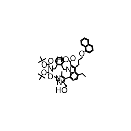 CCc1ccc(-c2c(CO)nn(C)c2C)c2c1c(CCCOc1cccc3ccccc13)c(C(=O)O)n2Cc1ccccc1CN(C(=O)OC(C)(C)C)C(=O)OC(C)(C)C